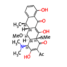 CN[C@@]12C(=O)C(C(C)=O)=C(O)[C@@H](N(C)C)[C@H]1[C@H](OC)[C@H]1C(=C2O)C(=O)c2c(O)cccc2[C@@H]1C